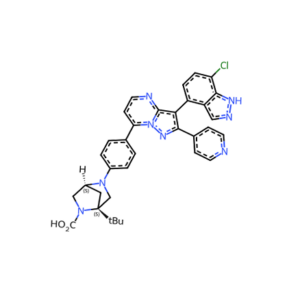 CC(C)(C)[C@]12C[C@@H](CN1C(=O)O)N(c1ccc(-c3ccnc4c(-c5ccc(Cl)c6[nH]ncc56)c(-c5ccncc5)nn34)cc1)C2